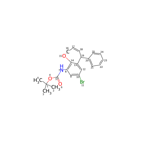 CC(C)(C)OC(=O)Nc1cc(Br)cc2c1OCC=CC2c1ccccc1